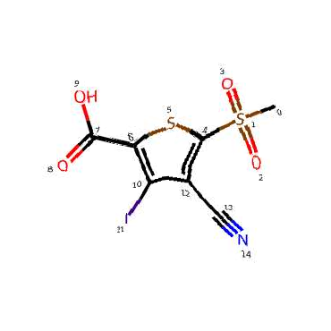 CS(=O)(=O)c1sc(C(=O)O)c(I)c1C#N